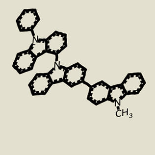 Cn1c2ccccc2c2cc(-c3ccc4c(c3)c3ccccc3n4-c3cccc4c3c3ccccc3n4-c3ccccc3)ccc21